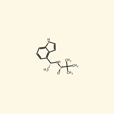 C[C@@H](N[S@+]([O-])C(C)(C)C)c1cccc2[nH]ccc12